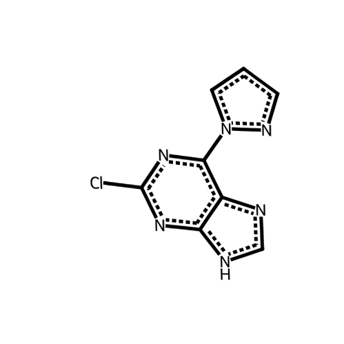 Clc1nc(-n2cccn2)c2nc[nH]c2n1